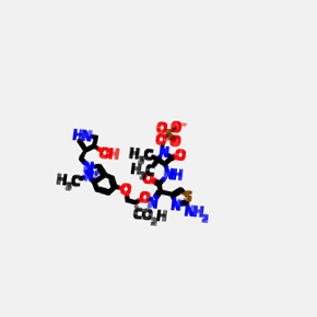 C[n+]1c2ccc(OC[C@H](O/N=C(\C(=O)N[C@@H]3C(=O)N(OS(=O)(=O)[O-])C3(C)C)c3csc(N)n3)C(=O)O)cc2cn1C[C@H]1CNC[C@H]1O